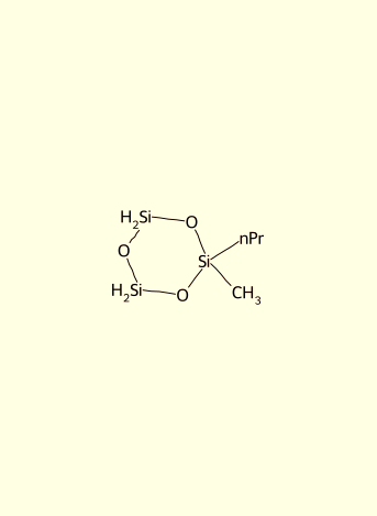 CCC[Si]1(C)O[SiH2]O[SiH2]O1